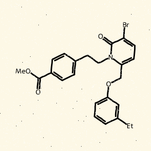 CCc1cccc(OCc2ccc(Br)c(=O)n2CCc2ccc(C(=O)OC)cc2)c1